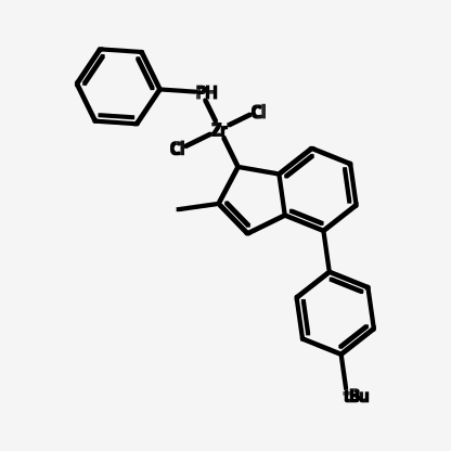 CC1=Cc2c(-c3ccc(C(C)(C)C)cc3)cccc2[CH]1[Zr]([Cl])([Cl])[PH]c1ccccc1